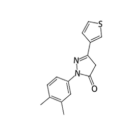 Cc1ccc(N2N=C(c3ccsc3)CC2=O)cc1C